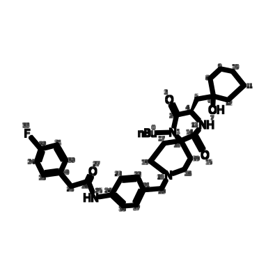 CCCCN1C(=O)[C@@H](CC2(O)CCCCC2)NC(=O)C12CCN(Cc1ccc(NC(=O)Cc3ccc(F)cc3)cc1)CC2